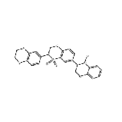 O=S1(=O)c2cc(C3COc4ccccc4[S+]3[O-])ccc2OCC1c1ccc2c(c1)SCCS2